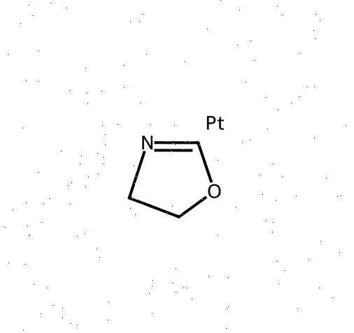 C1=NCCO1.[Pt]